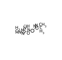 CCNc1ncc2c(n1)N1CCC[C@H]1CN(c1cccc(-c3nnc(C(C)C)o3)c1)C2=O